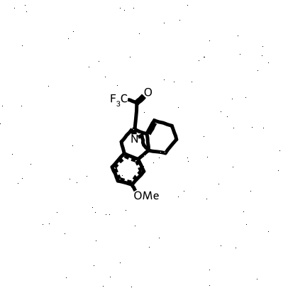 COc1ccc2c(c1)C13CCCC=C1C(C2)N(C(=O)C(F)(F)F)CC3